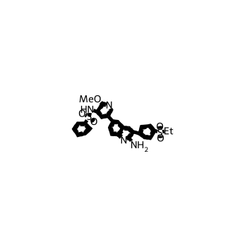 CCS(=O)(=O)c1ccc(-c2cc3cc(-c4cnc(OC)c(NS(=O)(=O)c5ccccc5)c4)ccc3nc2N)cc1